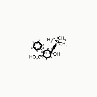 C[Si](C)(C)C#C[C@@]1(O)CC[C@@H](C(=O)O)[C@H](c2ccccc2)C1